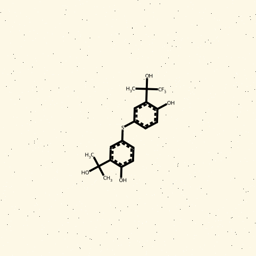 CC(C)(O)c1cc(Sc2ccc(O)c(C(C)(O)C(F)(F)F)c2)ccc1O